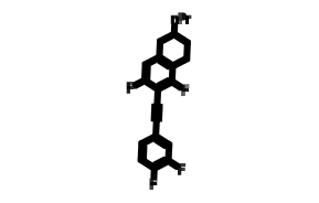 CCCC1CCc2c(cc(F)c(C#Cc3ccc(F)c(F)c3)c2F)C1